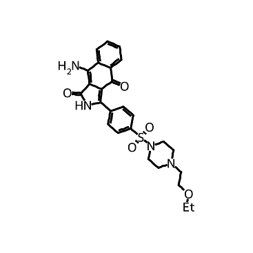 CCOCCN1CCN(S(=O)(=O)c2ccc(C3=C4C(=O)c5ccccc5C(N)=C4C(=O)N3)cc2)CC1